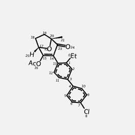 CCc1cc(-c2ccc(Cl)cc2)ccc1C1=C(OC(C)=O)[C@@H]2CC[C@@](C)(O2)C1=O